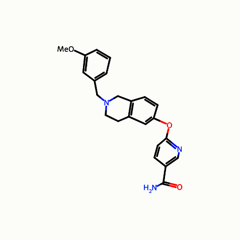 COc1cccc(CN2CCc3cc(Oc4ccc(C(N)=O)cn4)ccc3C2)c1